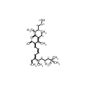 C=C/C(=C/C=C\C=C(C=O)/C(C)=C(/CC)C(=O)N(C)CCSS)N(C)CCC[N+](C)(C)C